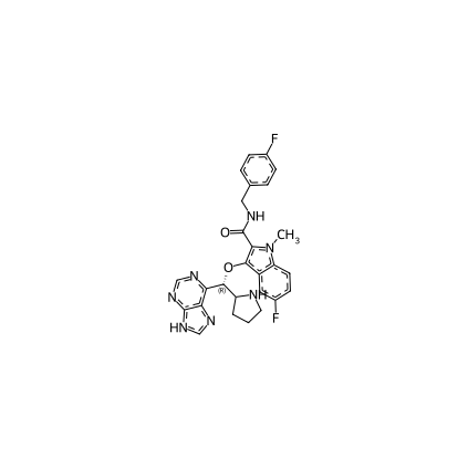 Cn1c(C(=O)NCc2ccc(F)cc2)c(O[C@@H](c2ncnc3[nH]cnc23)C2CCCN2)c2cc(F)ccc21